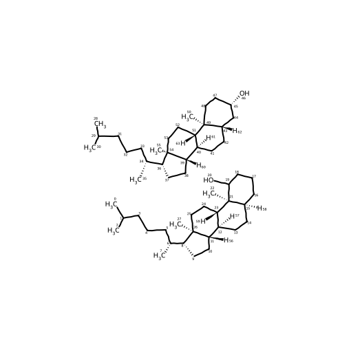 CC(C)CCC[C@@H](C)[C@H]1CC[C@H]2[C@@H]3CC[C@@H]4CCCC(O)[C@]4(C)[C@H]3CC[C@]12C.CC(C)CCC[C@@H](C)[C@H]1CC[C@H]2[C@@H]3CC[C@H]4C[C@@H](O)CC[C@]4(C)[C@H]3CC[C@]12C